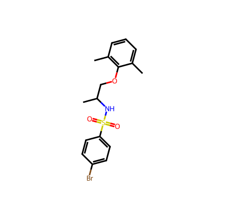 Cc1cccc(C)c1OCC(C)NS(=O)(=O)c1ccc(Br)cc1